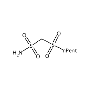 CCCCCS(=O)(=O)CS(N)(=O)=O